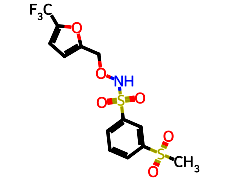 CS(=O)(=O)c1cccc(S(=O)(=O)NOCc2ccc(C(F)(F)F)o2)c1